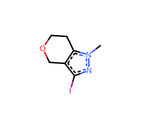 Cn1nc(I)c2c1CCOC2